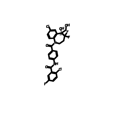 O=C(Nc1ccc(C(=O)N2CCC(F)(F)[C@](O)(CO)c3cc(Cl)ccc32)cc1)c1cc(F)ccc1Cl